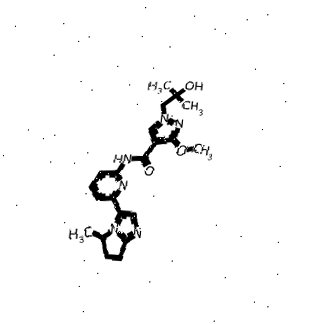 COc1nn(CC(C)(C)O)cc1C(=O)Nc1cccc(-c2cnc3n2C(C)CC3)n1